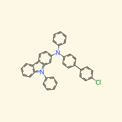 Clc1ccc(-c2ccc(N(c3ccccc3)c3ccc4c5ccccc5n(-c5ccccc5)c4c3)cc2)cc1